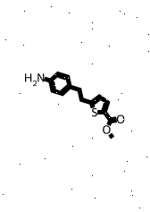 COC(=O)c1ccc(CCc2ccc(N)cc2)s1